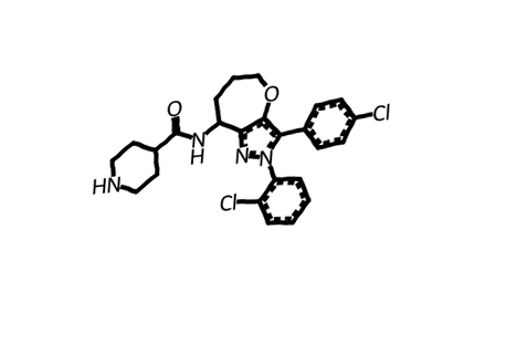 O=C(NC1CCCOc2c1nn(-c1ccccc1Cl)c2-c1ccc(Cl)cc1)C1CCNCC1